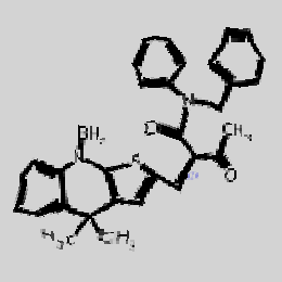 BN1c2ccccc2C(C)(C)c2cc(/C=C(/C(C)=O)C(=O)N(Cc3ccccc3)c3ccccc3)sc21